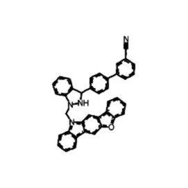 N#Cc1cccc(-c2ccc(C3NN(Cn4c5ccccc5c5cc6oc7ccccc7c6cc54)c4ccccc43)cc2)c1